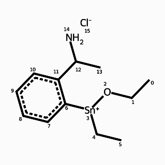 CC[O][Sn+]([CH2]C)[c]1ccccc1C(C)N.[Cl-]